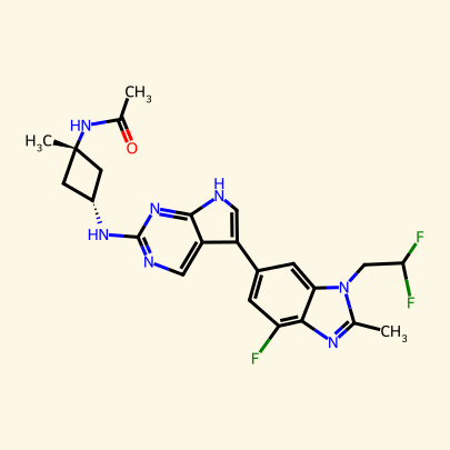 CC(=O)N[C@]1(C)C[C@H](Nc2ncc3c(-c4cc(F)c5nc(C)n(CC(F)F)c5c4)c[nH]c3n2)C1